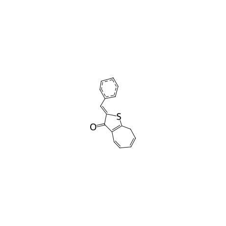 O=C1C2=C(CC=CC=C2)S/C1=C\c1ccccc1